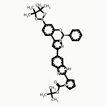 CC(C)(C)OC(=O)n1cccc1-c1nc2ccc(-c3cc4n(n3)[C@H](c3ccccc3)Oc3cc(B5OC(C)(C)C(C)(C)O5)ccc3-4)cc2[nH]1